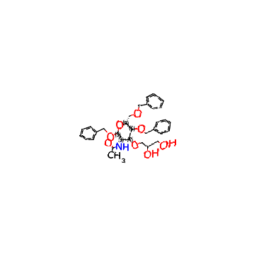 CC(=O)N[C@@H]1[C@@H](OCc2ccccc2)O[C@H](COCc2ccccc2)[C@@H](OCc2ccccc2)[C@@H]1OCC(O)CO